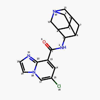 O=C(NC1C2CC3CC1CN(C3)C2)c1cc(Cl)cn2ccnc12